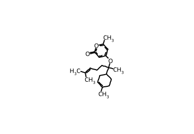 CC(C)=CCCC(C)(Oc1cc(C)oc(=O)c1)C1CC=C(C)CC1